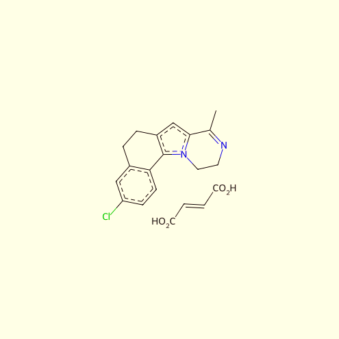 CC1=NCCn2c1cc1c2-c2ccc(Cl)cc2CC1.O=C(O)C=CC(=O)O